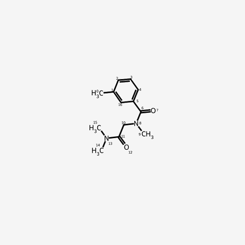 Cc1cccc(C(=O)N(C)CC(=O)N(C)C)c1